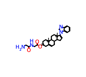 C[C@]12CC[C@H](OC(=O)CNC(=O)CN)CC1=CCC1C2CC[C@]2(C)C(n3cnc4ccccc43)=CCC12